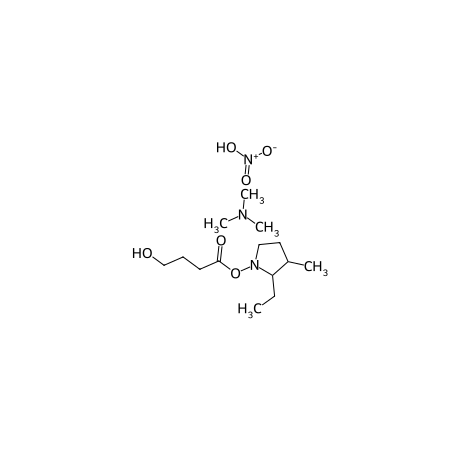 CCC1C(C)CCN1OC(=O)CCCO.CN(C)C.O=[N+]([O-])O